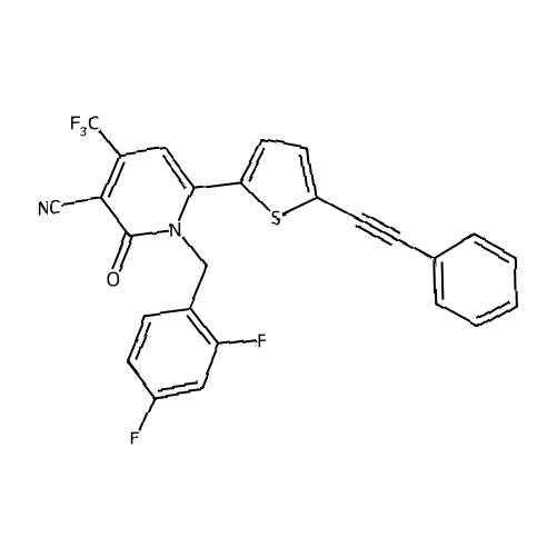 N#Cc1c(C(F)(F)F)cc(-c2ccc(C#Cc3ccccc3)s2)n(Cc2ccc(F)cc2F)c1=O